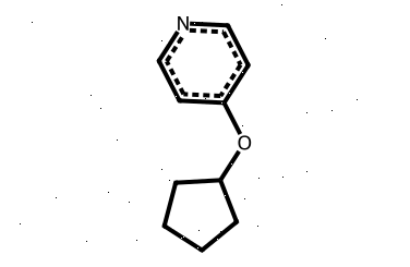 c1cc(OC2CCCC2)ccn1